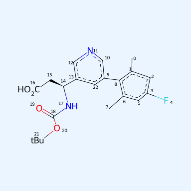 Cc1cc(F)cc(C)c1-c1cncc([C@H](CC(=O)O)NC(=O)OC(C)(C)C)c1